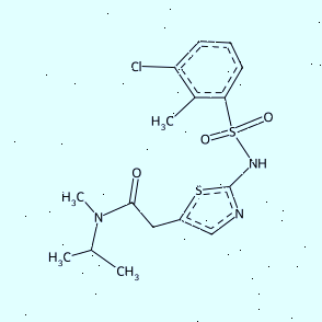 Cc1c(Cl)cccc1S(=O)(=O)Nc1ncc(CC(=O)N(C)C(C)C)s1